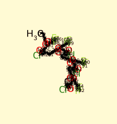 C/C=C\CCCC(=O)O[C@H](C/C=C1/C(=O)C(Cl)=C[C@@H]1C/C=C\CCCC(=O)O[C@H](C/C=C1/C(=O)C(Cl)=C[C@@H]1C/C=C\CCCC(=O)O[C@H](C/C=C1/C(=O)C(Cl)=C[C@@H]1C/C=C\CCCC(=O)O[C@H](C/C=C1/C(=O)C(Cl)=C[C@@H]1C)CCCCC(F)(F)F)CCCCC(F)(F)F)CCCCC(F)(F)F)CCCCC(F)(F)F